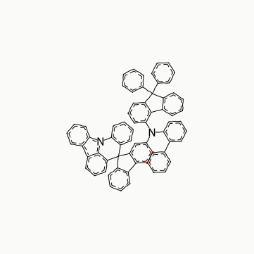 c1ccc(-c2ccccc2N(c2ccc3c(c2)C2(c4ccccc4-3)c3ccccc3-n3c4ccccc4c4cccc2c43)c2cccc3c2-c2ccccc2C3(c2ccccc2)c2ccccc2)cc1